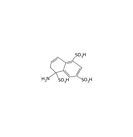 NC1(S(=O)(=O)O)CC=Cc2c1cc(S(=O)(=O)O)cc2S(=O)(=O)O